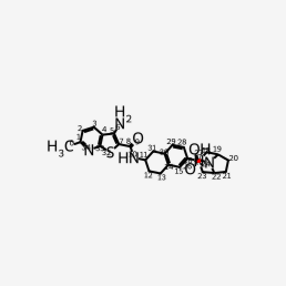 Cc1ccc2c(N)c(C(=O)NC3CCc4cc(N5CC6CCC(C5)N6C(=O)O)ccc4C3)sc2n1